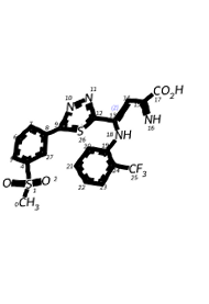 CS(=O)(=O)c1cccc(-c2nnc(/C(=C/C(=N)C(=O)O)Nc3ccccc3C(F)(F)F)s2)c1